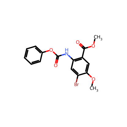 COC(=O)c1cc(OC)c(Br)cc1NC(=O)Oc1ccccc1